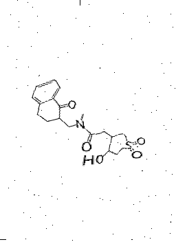 CN(CC1CCc2ccccc2C1=O)C(=O)[CH]C1CS(=O)(=O)CC1O